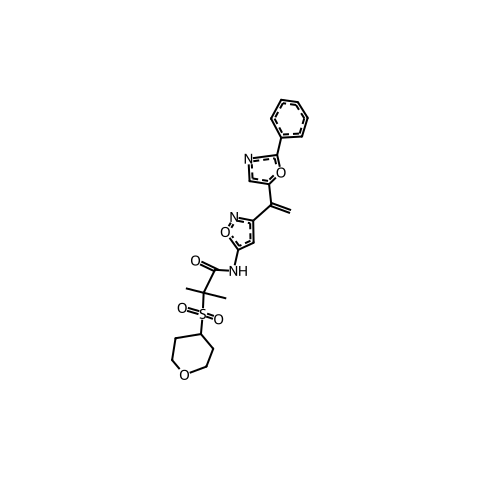 C=C(c1cc(NC(=O)C(C)(C)S(=O)(=O)C2CCOCC2)on1)c1cnc(-c2ccccc2)o1